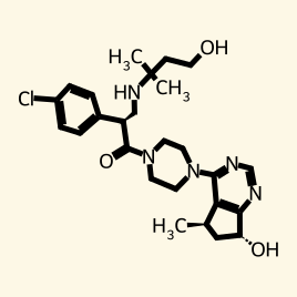 C[C@@H]1C[C@@H](O)c2ncnc(N3CCN(C(=O)[C@H](CNC(C)(C)CCO)c4ccc(Cl)cc4)CC3)c21